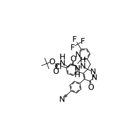 Cc1nc(C(F)(F)F)ccc1CC1(NNC(=O)CNC(=O)OC(C)(C)C)N=NC(=O)C(c2ccc(C#N)cc2)=C1c1ccc(Cl)cc1